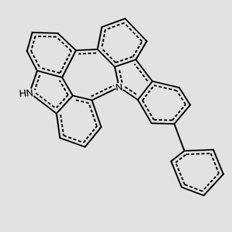 c1ccc(-c2ccc3c4cccc5c6cccc7[nH]c8cccc(c8c76)n(c3c2)c54)cc1